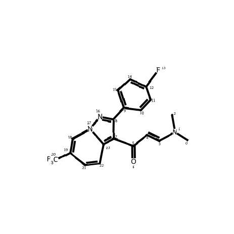 CN(C)C=CC(=O)c1c(-c2ccc(F)cc2)nn2cc(C(F)(F)F)ccc12